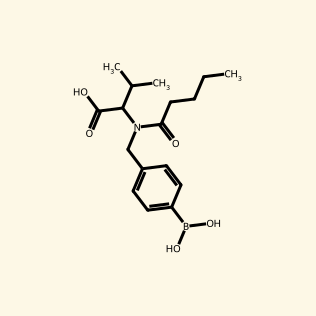 CCCCC(=O)N(Cc1ccc(B(O)O)cc1)C(C(=O)O)C(C)C